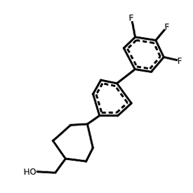 OCC1CCC(c2ccc(-c3cc(F)c(F)c(F)c3)cc2)CC1